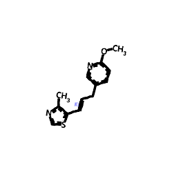 COc1ccc(C/C=C/c2scnc2C)cn1